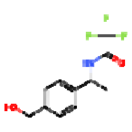 CC(NC(=O)C(F)(F)F)c1ccc(CO)cc1